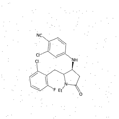 CCN1C(=O)C[C@H](Nc2ccc(C#N)c(Cl)c2)C1Cc1c(F)cccc1Cl